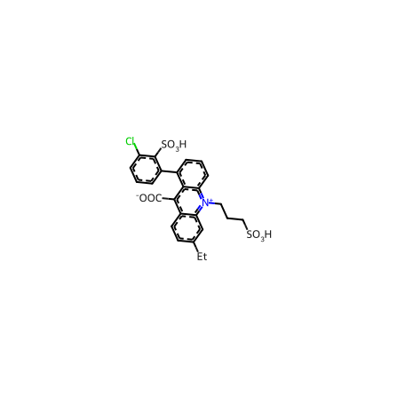 CCc1ccc2c(C(=O)[O-])c3c(-c4cccc(Cl)c4S(=O)(=O)O)cccc3[n+](CCCS(=O)(=O)O)c2c1